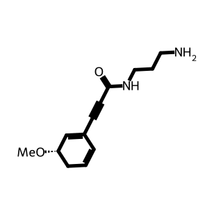 CO[C@@H]1C=C(C#CC(=O)NCCCN)C=CC1